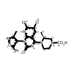 Cc1noc(C(C)C)c1-n1c(=O)nc(N2CCN(C(=O)O)C[C@@H]2C)c2cc(Cl)c(Cl)nc21